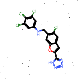 Clc1cc2cc(-c3nnn[nH]3)oc2cc1CNc1cc(Cl)c(Cl)c(Cl)c1